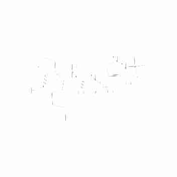 CC1(C)COc2c([S@](C)(=O)=NC(=O)Nc3c4c(c(F)c5c3C[C@H](F)C5)CCC4)cnn21